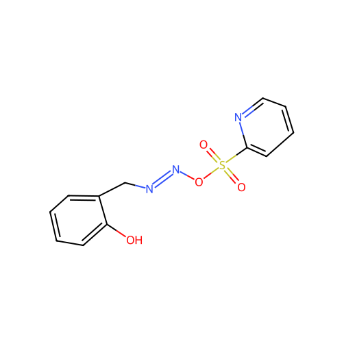 O=S(=O)(ON=NCc1ccccc1O)c1ccccn1